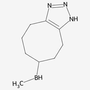 CBC1CCCc2nn[nH]c2CC1